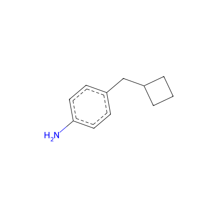 Nc1ccc(CC2CCC2)cc1